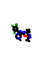 CC(C)c1nnc([C@@H](NC(=O)c2nc(-c3cc(Cl)c(F)cc3F)n3c2CN(C)CCC3)C(C)(C)C)o1